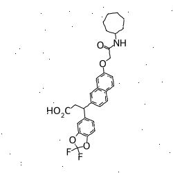 O=C(O)CC(c1ccc2c(c1)OC(F)(F)O2)c1ccc2ccc(OCC(=O)NC3CCCCCC3)cc2c1